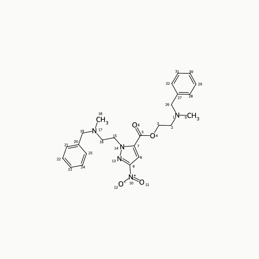 CN(CCOC(=O)c1cc([N+](=O)[O-])nn1CCN(C)Cc1ccccc1)Cc1ccccc1